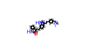 CN(C)Cc1ccc(/C=C/c2n[nH]c3cc(CC[C@]4(C)C(=O)Nc5ccccc54)ccc23)cc1